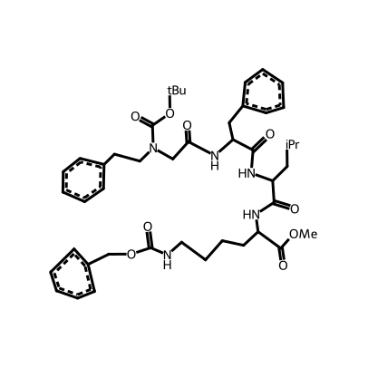 COC(=O)C(CCCCNC(=O)OCc1ccccc1)NC(=O)C(CC(C)C)NC(=O)C(Cc1ccccc1)NC(=O)CN(CCc1ccccc1)C(=O)OC(C)(C)C